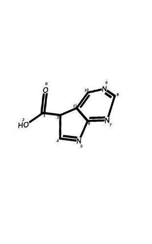 O=C(O)C1C=Nc2ncncc21